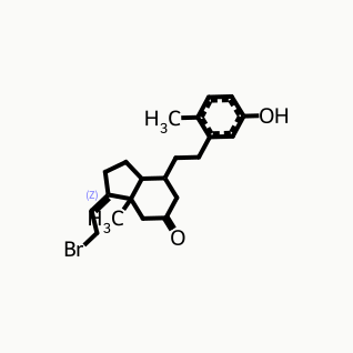 Cc1ccc(O)cc1CCC1CC(=O)CC2(C)/C(=C\CBr)CCC12